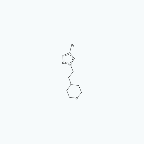 CC(C)c1cnn(CCN2CCOCC2)c1